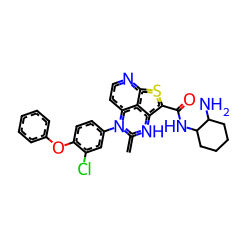 C=c1[nH]c2c(C(=O)NC3CCCCC3N)sc3nccc(c32)n1-c1ccc(Oc2ccccc2)c(Cl)c1